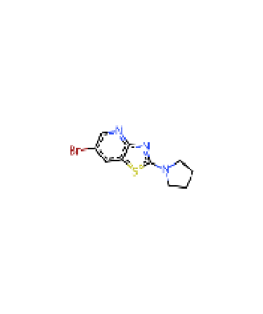 Brc1cnc2nc(N3CCCC3)sc2c1